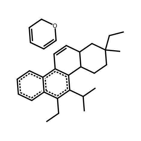 C1=CCOC=C1.CCc1c(C(C)C)c2c(c3ccccc13)C=CC1CC(C)(CC)CCC21